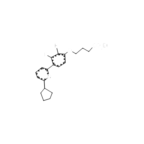 CCOC(=O)CCCOc1ccc(-c2cccc(C3CCCC3)n2)c(F)c1F